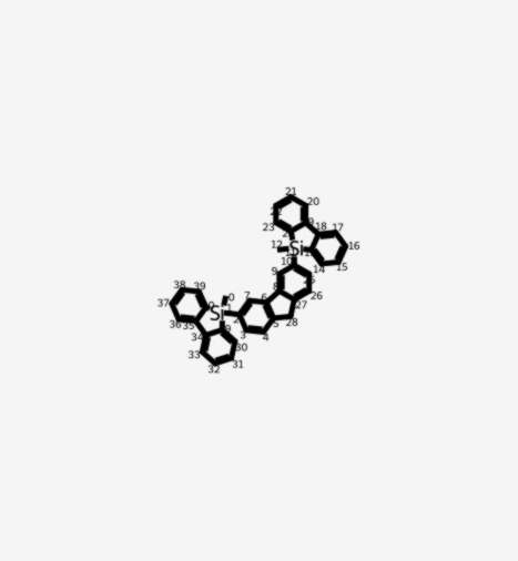 C[Si]1(c2ccc3c(c2)-c2cc([Si]4(C)c5ccccc5-c5ccccc54)ccc2C3)c2ccccc2-c2ccccc21